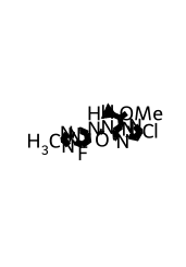 COC(c1c(NC(=O)Nc2cc(F)c3nc(C)nn3c2)cnc2cc(Cl)nn12)C1CC1